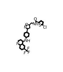 O=C(NCC1CC(c2ccc(Nc3ccnc4ccc(C(F)(F)F)cc34)cc2)=NO1)c1ccc(Cl)s1